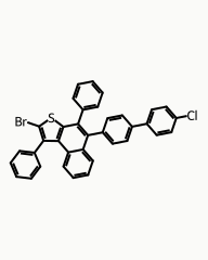 Clc1ccc(-c2ccc(-c3c(-c4ccccc4)c4sc(Br)c(-c5ccccc5)c4c4ccccc34)cc2)cc1